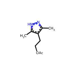 CC(=O)OCCc1c(C)n[nH]c1C